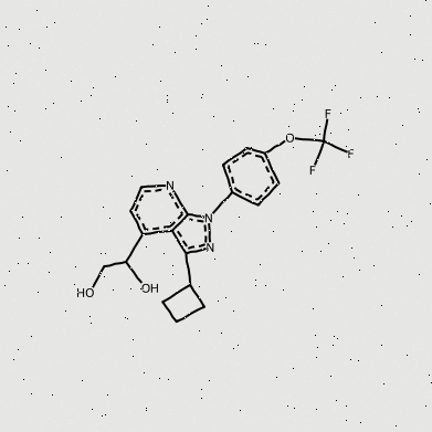 OCC(O)c1ccnc2c1c(C1CCC1)nn2-c1ccc(OC(F)(F)F)cc1